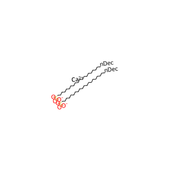 CCCCCCCCCCCCCCCCCCCCCCCCCCCCCCS(=O)(=O)[O-].CCCCCCCCCCCCCCCCCCCCCCCCCCCCCCS(=O)(=O)[O-].[Ca+2]